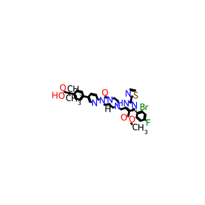 CCOC(=O)C1=C(CN2CCN3C(=O)N(c4ccc(-c5ccc(C(C)(C)C(=O)O)cc5)cn4)C[C@@H]3C2)NC(c2nccs2)=N[C@H]1c1ccc(F)cc1Br